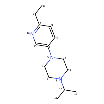 CCc1ccc(N2CCN(C(C)C)CC2)cn1